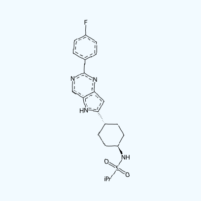 CC(C)S(=O)(=O)N[C@H]1CC[C@H](c2cc3nc(-c4ccc(F)cc4)ncc3[nH]2)CC1